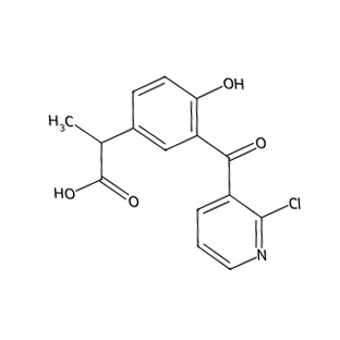 CC(C(=O)O)c1ccc(O)c(C(=O)c2cccnc2Cl)c1